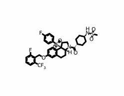 CS(=O)(=O)N[C@H]1CC[C@H](C(=O)N2CC[C@@]3(S(=O)(=O)c4ccc(F)cc4)c4ccc(OCc5c(F)cccc5C(F)(F)F)cc4CC[C@@H]23)CC1